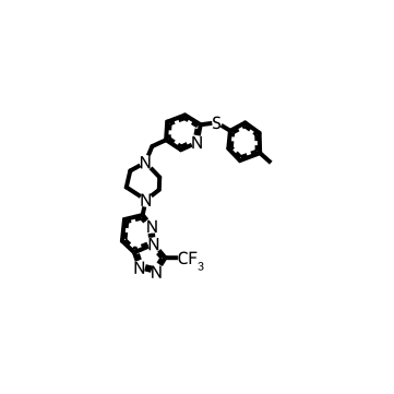 Cc1ccc(Sc2ccc(CN3CCN(c4ccc5nnc(C(F)(F)F)n5n4)CC3)cn2)cc1